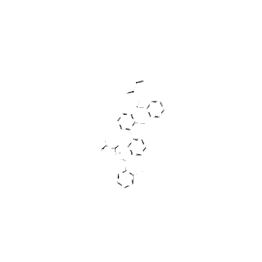 C=C(C)C(=O)OC1(C)c2ccccc2Cc2c(-c3ccc4c5c3C(C)C5(OC(=O)C(=C)C)c3ccccc3CS4)cccc21